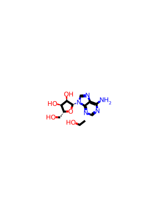 CCO.Nc1ncnc2c1ncn2[C@@H]1O[C@H](CO)[C@@H](O)[C@H]1O